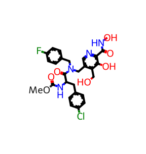 COC(=O)NC(Cc1ccc(Cl)cc1)C(=O)N(Cc1ccc(F)cc1)Cc1cnc(C(=O)NO)c(O)c1CO